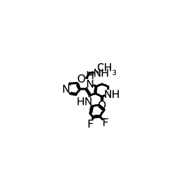 CNCCOc1cnccc1-c1[nH]c2c(c1Nc1ccc(F)c(F)c1)C(=O)NCC2